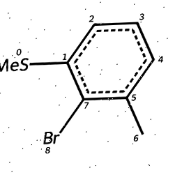 CSc1cccc(C)c1Br